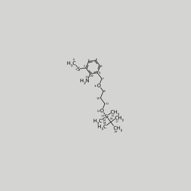 CSc1cccc(COCCCO[Si](C)(C)C(C)(C)C)c1N